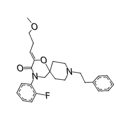 COCCC=C1OC2(CCN(CCc3ccccc3)CC2)CN(c2ccccc2F)C1=O